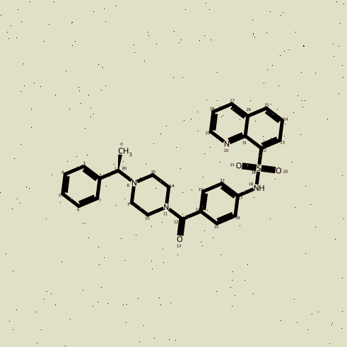 C[C@H](c1ccccc1)N1CCN(C(=O)c2ccc(NS(=O)(=O)c3cccc4cccnc34)cc2)CC1